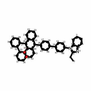 CCc1nc2ccccc2n1-c1ccc(-c2ccc(-c3c4ccccc4c(-c4ccccc4-c4ccccc4)c4ccccc34)cc2)cc1